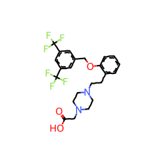 O=C(O)CN1CCN(CCc2ccccc2OCc2cc(C(F)(F)F)cc(C(F)(F)F)c2)CC1